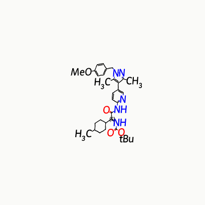 COc1ccc(Cn2nc(C)c(-c3ccc(NC(=O)[C@@H](NC(=O)OC(C)(C)C)C4CCC(C)CC4)nc3)c2C)cc1